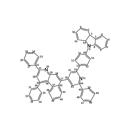 C1=CC2c3ccccc3N(c3ccc(-c4cc(-c5cc6nc(-c7ccccc7)cc(-c7ccccc7)c6c6ccccc56)cc(-c5ccccc5)n4)cc3)C2C=C1